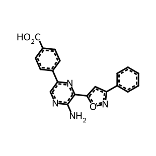 Nc1ncc(-c2ccc(C(=O)O)cc2)nc1-c1cc(-c2ccccc2)no1